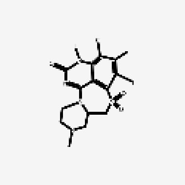 Cc1c(F)c2c3c(nc(=O)n(I)c3c1Cl)N1CCN(C)CC1CS2(=O)=O